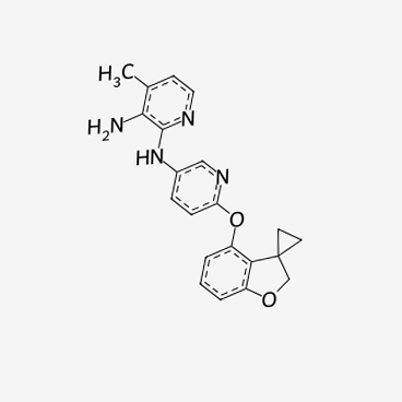 Cc1ccnc(Nc2ccc(Oc3cccc4c3C3(CC3)CO4)nc2)c1N